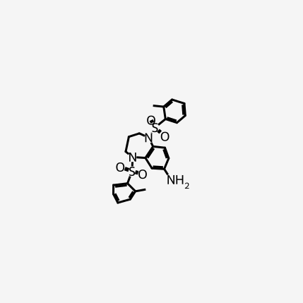 Cc1ccccc1S(=O)(=O)N1CCCN(S(=O)(=O)c2ccccc2C)c2cc(N)ccc21